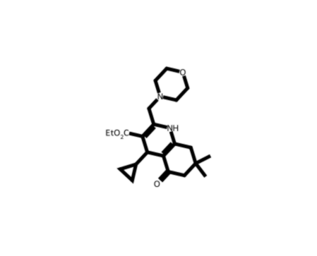 CCOC(=O)C1=C(CN2CCOCC2)NC2=C(C(=O)CC(C)(C)C2)C1C1CC1